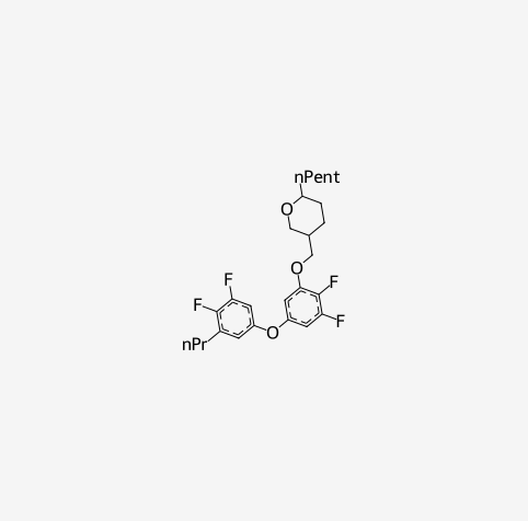 CCCCCC1CCC(COc2cc(Oc3cc(F)c(F)c(CCC)c3)cc(F)c2F)CO1